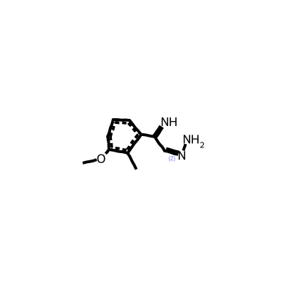 COc1cccc(C(=N)/C=N\N)c1C